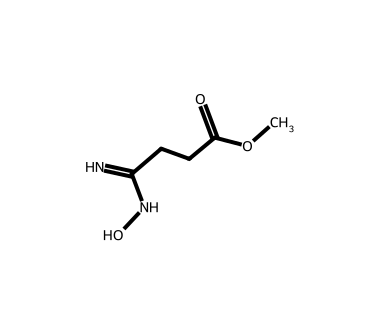 COC(=O)CCC(=N)NO